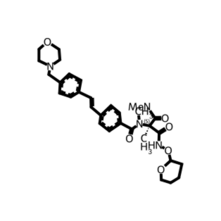 CNC(=O)[C@@](C)(C(=O)NOC1CCCCO1)N(C)C(=O)c1ccc(C=Cc2ccc(CN3CCOCC3)cc2)cc1